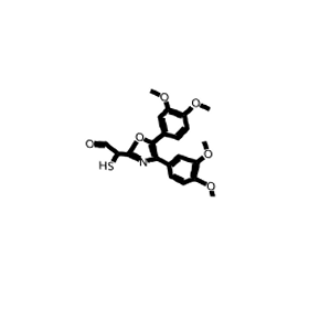 COc1ccc(-c2nc(C(S)C=O)oc2-c2ccc(OC)c(OC)c2)cc1OC